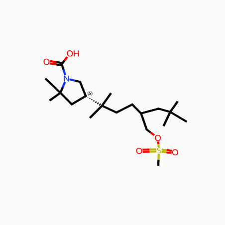 CC(C)(C)CC(CCC(C)(C)[C@H]1CN(C(=O)O)C(C)(C)C1)COS(C)(=O)=O